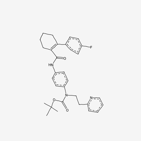 CC(C)(C)OC(=O)N(CCc1ccccn1)c1ccc(NC(=O)C2=C(c3ccc(F)cc3)CCCC2)cc1